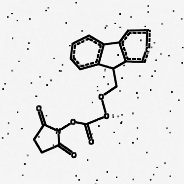 O=C(OOCC1c2ccccc2-c2ccccc21)ON1C(=O)CCC1=O